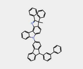 CC1(c2ccccc2)C(c2ccccc2)=Nc2c1ccc1c2c2ccccc2n1-c1ccc2c(c1)-c1ccccc1C2c1cccc(-c2ccccc2)c1